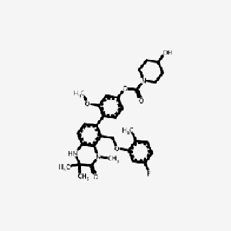 COc1cc(OC(=O)N2CCC(O)CC2)ccc1-c1ccc2c(c1COc1cc(F)ccc1C)N(C)C(=O)C(C)(C)N2